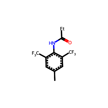 CCC(=O)Nc1c(C(F)(F)F)cc(C)cc1C(F)(F)F